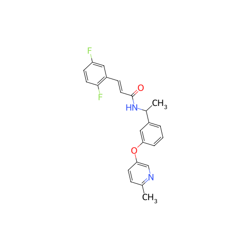 Cc1ccc(Oc2cccc(C(C)NC(=O)C=Cc3cc(F)ccc3F)c2)cn1